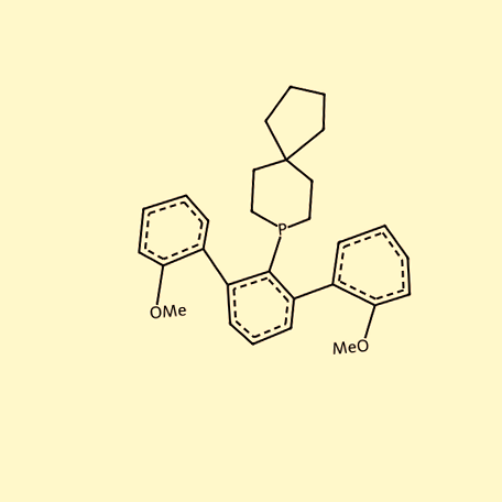 COc1ccccc1-c1cccc(-c2ccccc2OC)c1P1CCC2(CCCC2)CC1